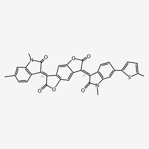 Cc1ccc2c(c1)N(C)C(=O)/C2=C1/C(=O)Oc2cc3c(cc21)OC(=O)/C3=C1/C(=O)N(C)c2cc(-c3ccc(C)s3)ccc21